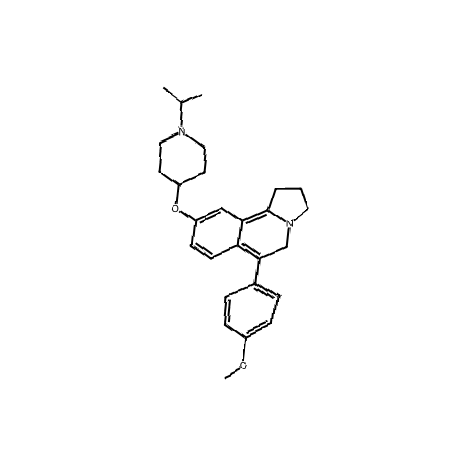 COc1ccc(C2=c3ccc(OC4CCN(C(C)C)CC4)cc3=C3CCCN3C2)cc1